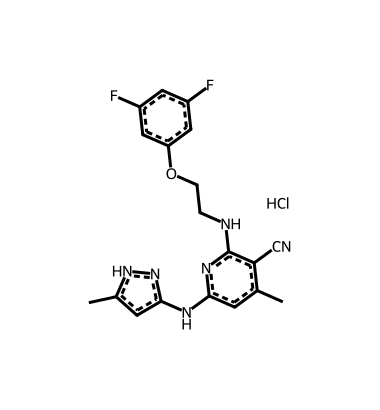 Cc1cc(Nc2cc(C)c(C#N)c(NCCOc3cc(F)cc(F)c3)n2)n[nH]1.Cl